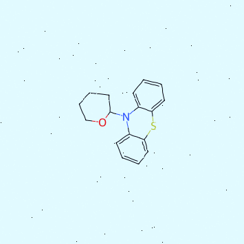 c1ccc2c(c1)Sc1ccccc1N2C1CCCCO1